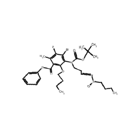 CCCCOc1c(C(=O)Oc2ccccc2)c(C)c(F)c(Br)c1N(CC/C=N/[S@+]([O-])CCCC)C(=O)OC(C)(C)C